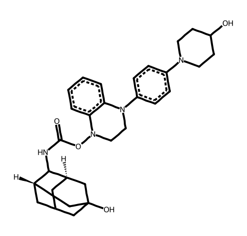 O=C(NC1[C@@H]2CC3C[C@H]1CC(O)(C3)C2)ON1CCN(c2ccc(N3CCC(O)CC3)cc2)c2ccccc21